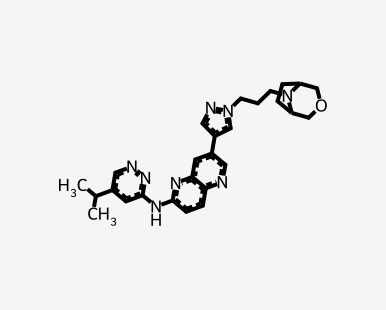 CC(C)c1cnnc(Nc2ccc3ncc(-c4cnn(CCCN5C6CCC5COC6)c4)cc3n2)c1